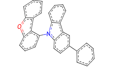 c1ccc(-c2ccc3c(c2)c2ccccc2n3-c2cccc3oc4ccccc4c23)cc1